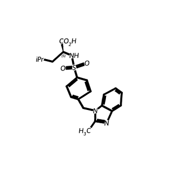 Cc1nc2ccccc2n1Cc1ccc(S(=O)(=O)N[C@@H](CC(C)C)C(=O)O)cc1